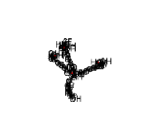 O=C(CCOCC(COCCC(=O)NCCOCCOCCOCCOC[C@@]1(CO)OCC[C@@H](O)[C@H]1O)(COCCC(=O)NCCOCCOCCOCCOC[C@@]12CO[C@H](O1)C(NC(=O)C(F)(F)F)[C@@H](O)[C@H]2O)NC(=O)CCCOc1ccc2nc(-c3cn(-c4ccc(O)c(F)c4)nn3)ccc2c1)NCCOCCOCCOCCOC[C@@]1(CO)OCC[C@@H](O)[C@H]1O